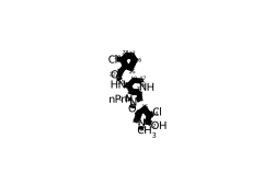 CCCN1C2=C(CN1OC1=CN(C)C(O)C(Cl)=C1)NCCC2NC1OC1c1ccccc1Cl